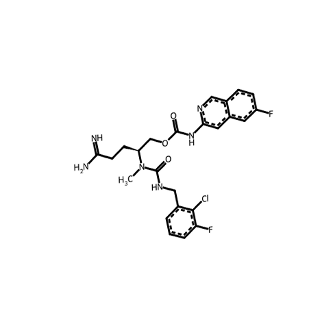 CN(C(=O)NCc1cccc(F)c1Cl)[C@@H](CCC(=N)N)COC(=O)Nc1cc2cc(F)ccc2cn1